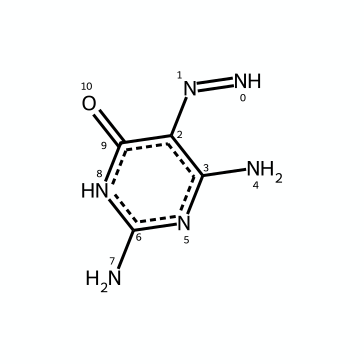 N=Nc1c(N)nc(N)[nH]c1=O